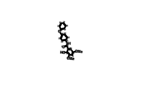 COc1cc(OC)c(O)c(C(=O)Nc2ccc(Oc3ccccc3)cc2)n1